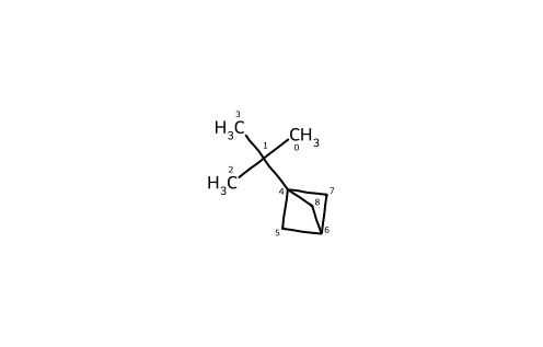 CC(C)(C)C12CC(C1)C2